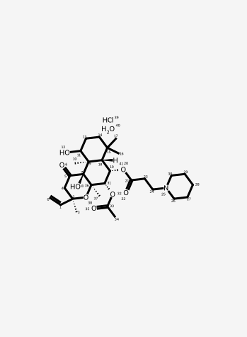 C=C[C@@]1(C)CC(=O)[C@]2(O)[C@@]3(C)C(O)CCC(C)(C)[C@@H]3[C@H](OC(=O)CCN3CCCCC3)[C@H](OC(C)=O)[C@@]2(C)O1.Cl.O